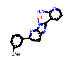 COc1cccc(-c2ccc3nc(-c4cccnc4N)n(O)c3n2)c1